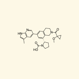 COC1(C(=O)N2CCc3cc(-c4cnc5[nH]cc(C)c5c4)cc([C@@H]4CCCN4C(=O)O)c3C2)CC1